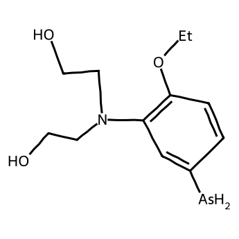 CCOc1ccc([AsH2])cc1N(CCO)CCO